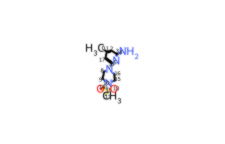 Cc1cc(N)nc(N2CCN(S(C)(=O)=O)CC2)c1